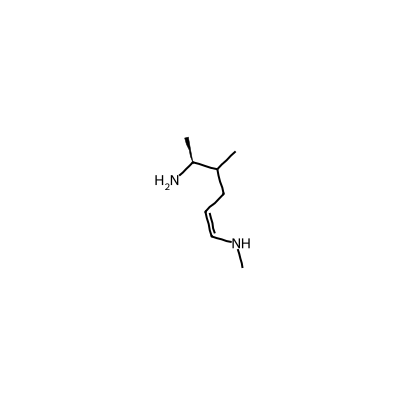 CN/C=C\CC(C)[C@H](C)N